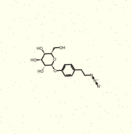 [N-]=[N+]=NCCc1ccc(O[C@@H]2O[C@H](CO)[C@H](O)[C@H](O)[C@H]2O)cc1